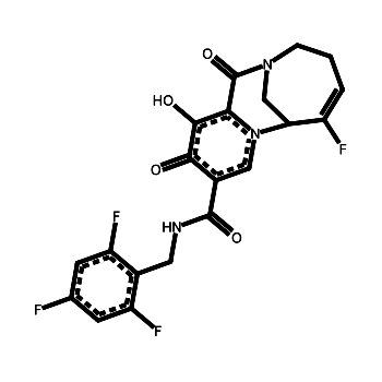 O=C(NCc1c(F)cc(F)cc1F)c1cn2c(c(O)c1=O)C(=O)N1CCC=C(F)C2C1